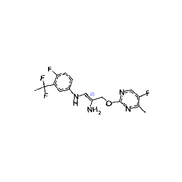 Cc1nc(OC/C(N)=C/Nc2ccc(F)c(C(C)(F)F)c2)ncc1F